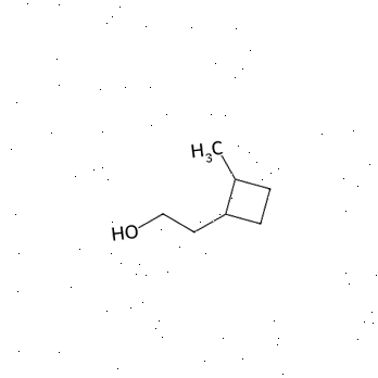 CC1CCC1CCO